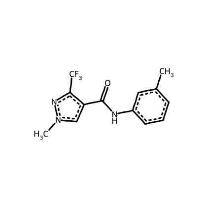 Cc1cccc(NC(=O)c2cn(C)nc2C(F)(F)F)c1